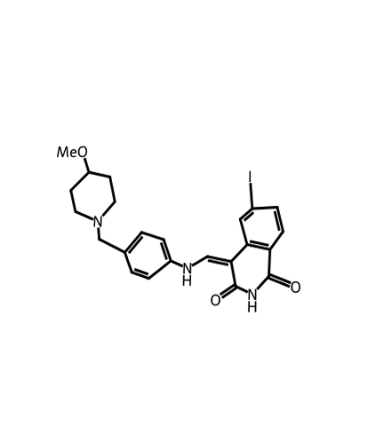 COC1CCN(Cc2ccc(NC=C3C(=O)NC(=O)c4ccc(I)cc43)cc2)CC1